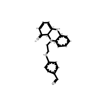 O=Cc1ccc(OCCN2c3ccccc3SC3=CC=CC(=O)C32)cc1